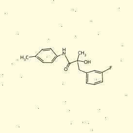 Cc1ccc(NC(=O)C(C)(O)Cc2cccc(F)c2)cc1